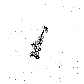 CCC(C)C(C(CC(=O)N1CCC[C@H]1C(OC)C(C)C(=S)NC(Cc1ccccc1)C(=O)OC)OC)N(C)C(=O)C(NC(=O)C(C)(C)N(C)C(=O)CCCCCN1C(=O)C=CC1=O)C(C)C